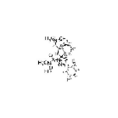 CCON(C)C(=O)N1N=C(c2cc(F)ccc2F)SC1(CCCN(C)C)c1ccccc1